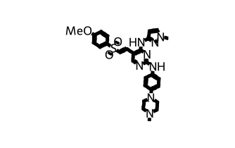 COc1ccc(S(=O)(=O)C=Cc2cnc(Nc3ccc(N4CCN(C)CC4)cc3)nc2Nc2ccn(C)n2)cc1